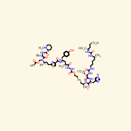 CCCC(=O)OCN(C(=O)[C@@H](NC(=O)[C@H]1CCCCN1C)C(C)CC)[C@H](CCc1nc(C(=O)N[C@@H](Cc2ccc(O)cc2)C[C@H](C)C(=O)NNC(=O)OCCSSC[C@@H](C)NC(=O)[C@H](Cc2c[nH]cn2)NC(=O)[C@H](CC(=O)O)NC(=O)NCCCC[C@@H](C)NC(=O)N[C@@H](CCC(=O)O)C(=O)O)cs1)C(C)C